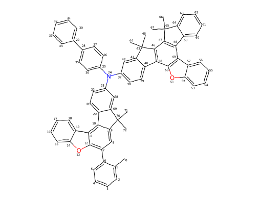 Cc1ccccc1-c1cc2c(c3c1oc1ccccc13)-c1ccc(N(c3ccc(-c4ccccc4)cc3)c3ccc4c(c3)C(C)(C)c3c5c(c6c(oc7ccccc76)c3-4)-c3ccccc3C5(C)C)cc1C2(C)C